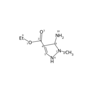 CCOC(=O)C1=CNN(C)C1N